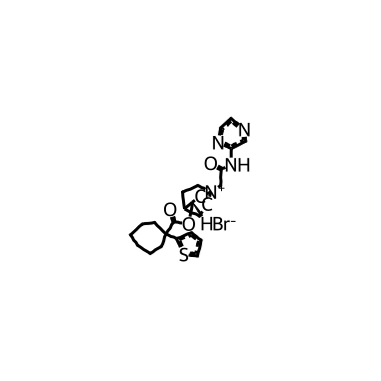 O=C(C[N+]12CCC(CC1)[C@@H](OC(=O)C1(c3cccs3)CCCCCC1)C2)Nc1cnccn1.[Br-]